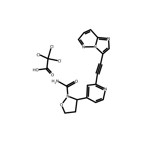 NC(=O)N1OCCC1c1ccnc(C#Cc2cnc3cccnn23)c1.O=C(O)C(Cl)(Cl)Cl